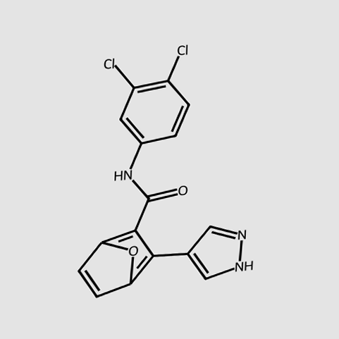 O=C(Nc1ccc(Cl)c(Cl)c1)c1c(-c2cn[nH]c2)c2ccc1o2